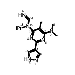 Cc1c(N(C)C)nc(-c2cn[nH]c2)nc1N(C=N)C(C)C